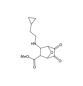 COC(=O)C1C2OC(C(=O)C2=O)C1NCCC1CC1